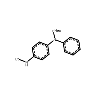 CCCCCCN(c1ccccc1)c1ccc(NCC)cc1